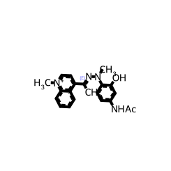 CC(=O)Nc1ccc(N(C)/N=C(\C)c2cc[n+](C)c3ccccc23)c(O)c1